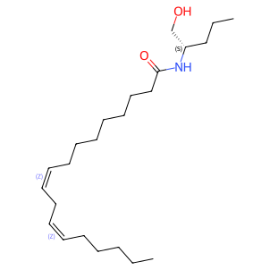 CCCCC/C=C\C/C=C\CCCCCCCC(=O)N[C@H](CO)CCC